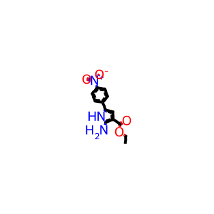 CCOC(=O)c1cc(-c2ccc([N+](=O)[O-])cc2)[nH]c1N